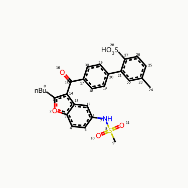 CCCCc1oc2ccc(NS(C)(=O)=O)cc2c1C(=O)c1ccc(-c2cc(C)ccc2S(=O)(=O)O)cc1